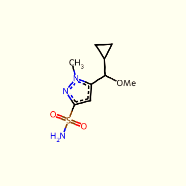 COC(c1cc(S(N)(=O)=O)nn1C)C1CC1